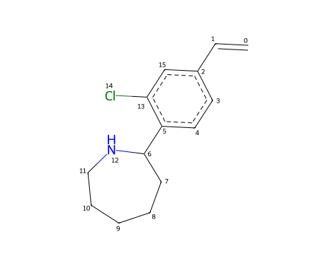 C=Cc1ccc(C2CCCCCN2)c(Cl)c1